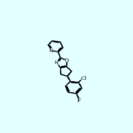 Fc1ccc(C2Cc3nc(-c4ccccn4)oc3C2)c(Cl)c1